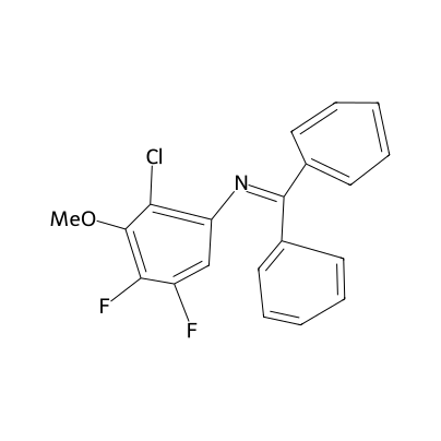 COc1c(F)c(F)cc(N=C(c2ccccc2)c2ccccc2)c1Cl